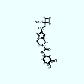 COC1(CNc2cc3n(n2)CCN(C(=O)Nc2ccc(F)c(Cl)c2)C3)CCC1